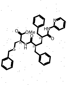 COC(=O)[C@H](CSCc1ccccc1)NC(=O)[C@H](Cc1ccccc1)C[C@@H](Cc1ccccc1)C(=O)Nc1ccccn1